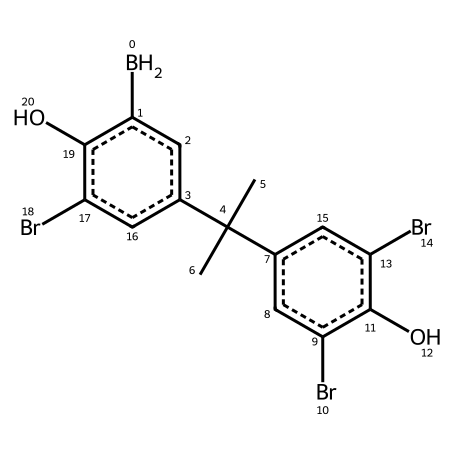 Bc1cc(C(C)(C)c2cc(Br)c(O)c(Br)c2)cc(Br)c1O